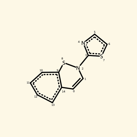 C1=CN(c2nccs2)Sc2ccccc21